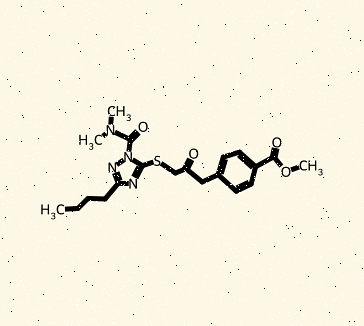 CCCCc1nc(SCC(=O)Cc2ccc(C(=O)OC)cc2)n(C(=O)N(C)C)n1